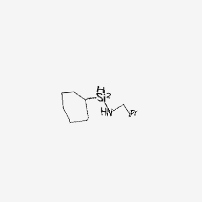 CC(C)CN[SiH2]C1CCCCC1